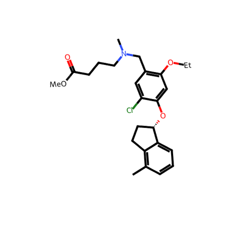 CCOc1cc(O[C@H]2CCc3c(C)cccc32)c(Cl)cc1CN(C)CCCC(=O)OC